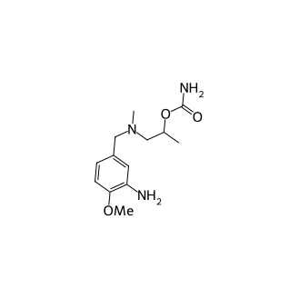 COc1ccc(CN(C)CC(C)OC(N)=O)cc1N